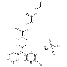 CCCOC(=O)COCC(=O)N1CCN(C(c2ccccc2)c2ccc(Cl)cc2)CC1.O=S(=O)(O)O